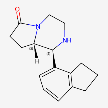 O=C1CC[C@H]2[C@H](c3cccc4c3CCC4)NCCN12